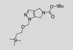 CC(C)(C)OC(=O)N1Cc2cnn(COCC[Si](C)(C)C)c2C1